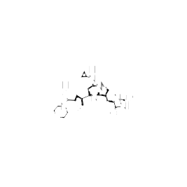 CC(c1cc(-c2cc(NC3CC3)n3ncc(/C=C4\NC(=O)NC4=O)c3n2)cs1)N1CCOCC1